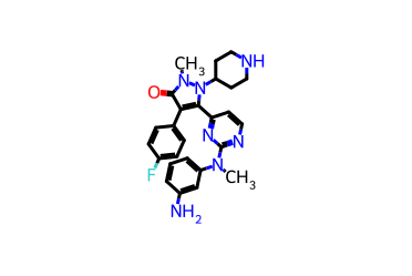 CN(c1cccc(N)c1)c1nccc(-c2c(-c3ccc(F)cc3)c(=O)n(C)n2C2CCNCC2)n1